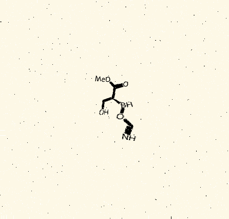 COC(=O)[C@@H](BOC=N)CO